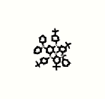 CC(C)(C)c1ccc(N2c3cc(N(c4ccccc4)c4ccccc4)cc4c3B3c5c2cc(C(C)(C)C)cc5[Si](C)(c2ccccc2)c2cc(C(C)(C)C)cc(c23)N4c2ccc(C(C)(C)C)cc2)cc1